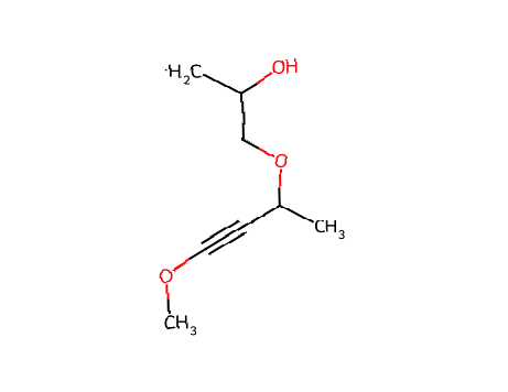 [CH2]C(O)COC(C)C#COC